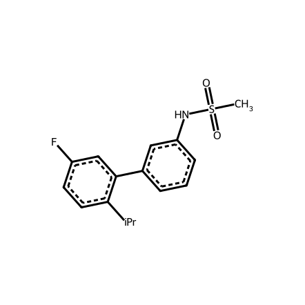 CC(C)c1ccc(F)cc1-c1cccc(NS(C)(=O)=O)c1